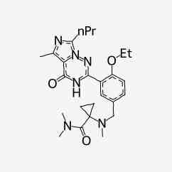 CCCc1nc(C)c2c(=O)[nH]c(-c3cc(CN(C)C4(C(=O)N(C)C)CC4)ccc3OCC)nn12